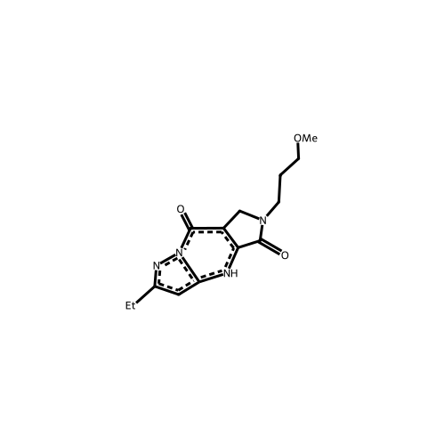 CCc1cc2[nH]c3c(c(=O)n2n1)CN(CCCOC)C3=O